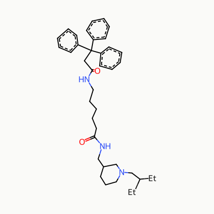 CCC(CC)CN1CCCC(CNC(=O)CCCCCNC(=O)CC(c2ccccc2)(c2ccccc2)c2ccccc2)C1